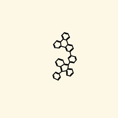 c1ccc(-c2c3ccccc3c(-c3cccc(-c4ccc5c6ccccc6c6ccccc6c5c4)c3)c3ccccc23)cc1